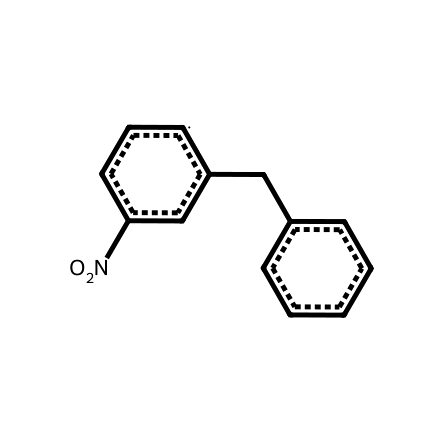 O=[N+]([O-])c1cc[c]c(Cc2ccccc2)c1